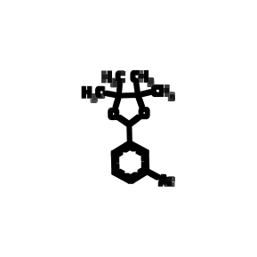 CC(=O)c1cccc(C2OC(C)(C)C(C)(C)O2)c1